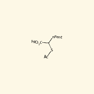 CCCCCC(SC(C)=O)C(=O)O